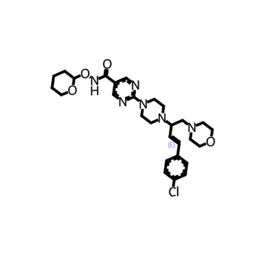 O=C(NOC1CCCCO1)c1cnc(N2CCN(C(/C=C/c3ccc(Cl)cc3)CN3CCOCC3)CC2)nc1